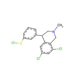 CN1Cc2c(Cl)cc(Cl)cc2C(c2cccc(SCl)c2)C1